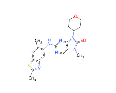 Cc1nc2cc(Nc3ncc4c(n3)n(C3CCOCC3)c(=O)n4C)c(C)cc2s1